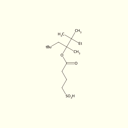 CCC(C)(C)C(C)(CC(C)(C)C)OC(=O)CCCS(=O)(=O)O